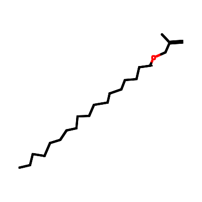 C=C(C)CO[CH]CCCCCCCCCCCCCCCCC